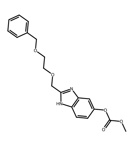 COC(=O)Oc1ccc2[nH]c(COCCOCc3ccccc3)nc2c1